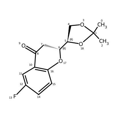 CC1(C)OC[C@H]([C@H]2CC(=O)c3cc(F)ccc3O2)O1